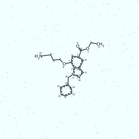 CCOC(=O)c1cc(OCCCN)c2c(cnn2Cc2ccccc2)c1